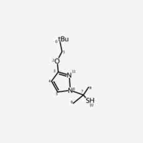 CC(C)(C)COc1ccn(C(C)(C)S)n1